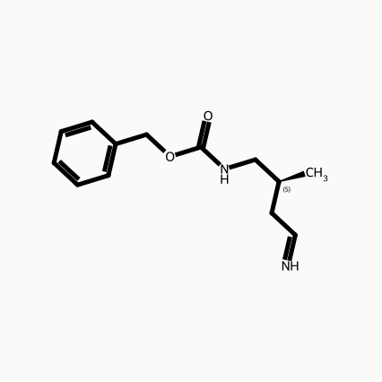 C[C@@H](CC=N)CNC(=O)OCc1ccccc1